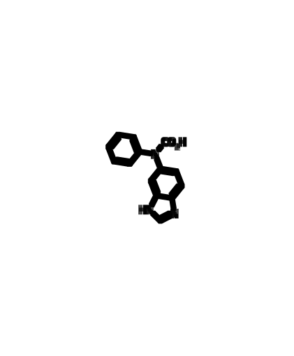 O=C(O)N(c1ccccc1)c1ccc2nc[nH]c2c1